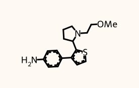 COCCN1CCCC1c1sccc1-c1ccc(N)cc1